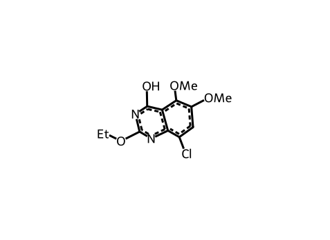 CCOc1nc(O)c2c(OC)c(OC)cc(Cl)c2n1